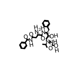 CC(C)N(C[C@H](O)[C@H](Cc1ccccc1)NC(=O)[C@@H](N)CC(=O)NC(=O)c1ccccc1)NC(=O)O